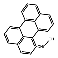 O=CO.c1cc2cccc3c4cccc5cccc(c(c1)c23)c54